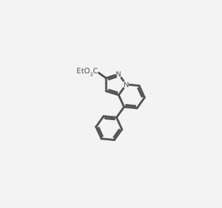 CCOC(=O)c1cc2c(-c3ccccc3)cccn2n1